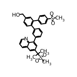 CC(C)(c1cc(-c2cccc(-c3ccc(CO)cc3-c3ccc(S(C)(=O)=O)cc3)c2)c2ncccc2c1)S(C)(=O)=O